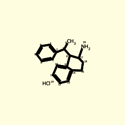 CC(c1ccccc1)C1c2ccccc2CCC1N.Cl